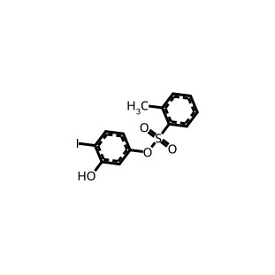 Cc1ccccc1S(=O)(=O)Oc1ccc(I)c(O)c1